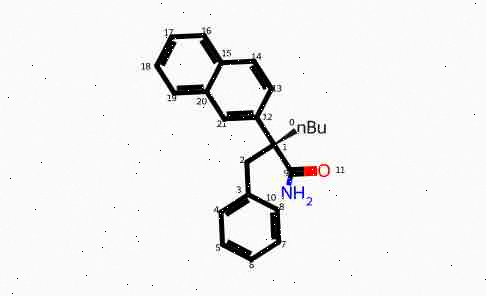 CCCC[C@](Cc1ccccc1)(C(N)=O)c1ccc2ccccc2c1